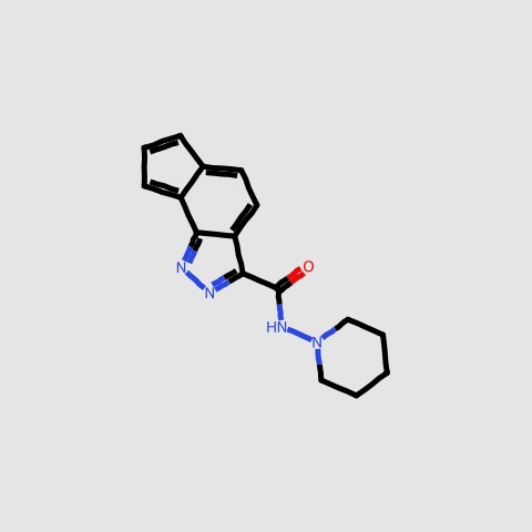 O=C(NN1CCCCC1)C1=NN=c2c1ccc1c2=CC=C1